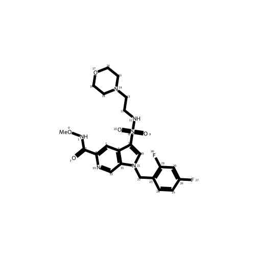 CONC(=O)c1cc2c(S(=O)(=O)NCCN3CCOCC3)cn(Cc3ccc(F)cc3F)c2cn1